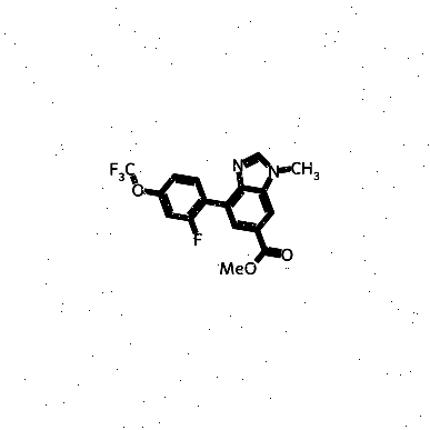 COC(=O)c1cc(-c2ccc(OC(F)(F)F)cc2F)c2ncn(C)c2c1